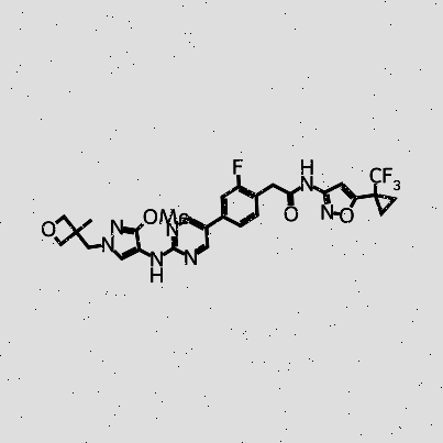 COc1nn(CC2(C)COC2)cc1Nc1ncc(-c2ccc(CC(=O)Nc3cc(C4(C(F)(F)F)CC4)on3)c(F)c2)cn1